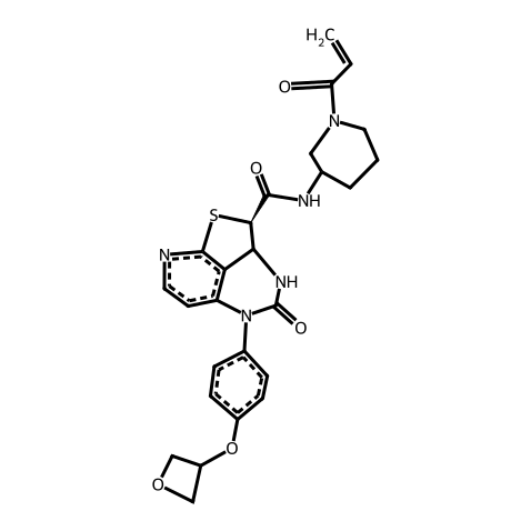 C=CC(=O)N1CCCC(NC(=O)[C@@H]2Sc3nccc4c3C2NC(=O)N4c2ccc(OC3COC3)cc2)C1